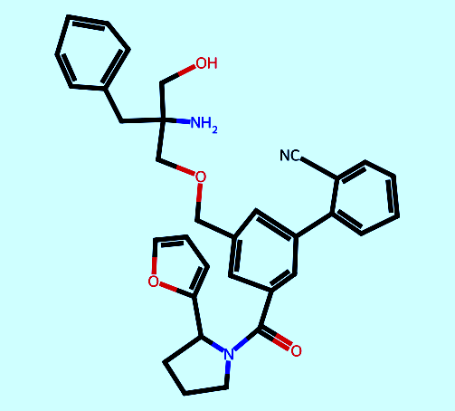 N#Cc1ccccc1-c1cc(COCC(N)(CO)Cc2ccccc2)cc(C(=O)N2CCCC2c2ccco2)c1